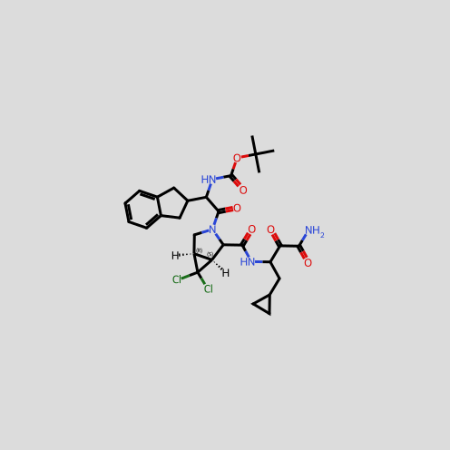 CC(C)(C)OC(=O)NC(C(=O)N1C[C@H]2[C@@H](C1C(=O)NC(CC1CC1)C(=O)C(N)=O)C2(Cl)Cl)C1Cc2ccccc2C1